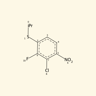 CC(C)Sc1ccc([N+](=O)[O-])c(Cl)c1F